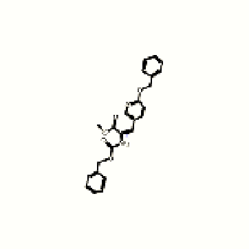 COC(=O)/C(=C\c1ccc(OCc2ccccc2)nc1)NC(=O)OCc1ccccc1